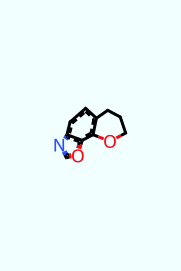 c1nc2ccc3c(c2o1)OCCC3